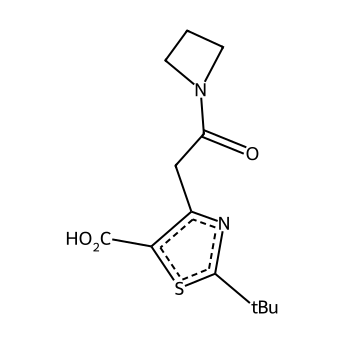 CC(C)(C)c1nc(CC(=O)N2CCC2)c(C(=O)O)s1